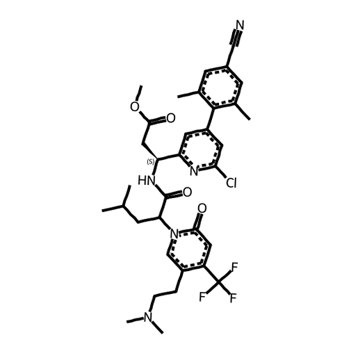 COC(=O)C[C@H](NC(=O)C(CC(C)C)n1cc(CCN(C)C)c(C(F)(F)F)cc1=O)c1cc(-c2c(C)cc(C#N)cc2C)cc(Cl)n1